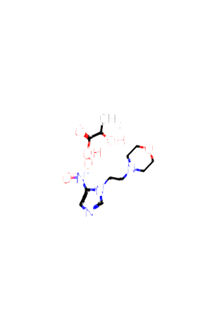 CC(O)C(=O)O.O=[N+]([O-])c1cncn1CCN1CCOCC1